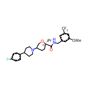 COc1cc(CNC(=O)[C@@]2(C(C)C)CCC(N3CCC(c4ccc(F)cc4)CC3)CO2)cc(C(F)(F)F)c1